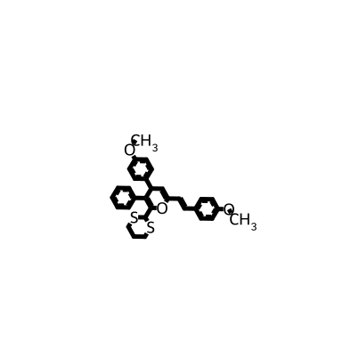 COc1ccc(/C=C/C2=CC(c3ccc(OC)cc3)C(c3ccccc3)=C(C3SCCCS3)O2)cc1